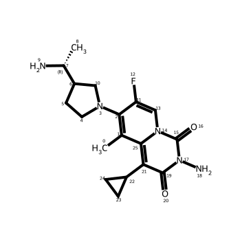 Cc1c(N2CCC([C@@H](C)N)C2)c(F)cn2c(=O)n(N)c(=O)c(C3CC3)c12